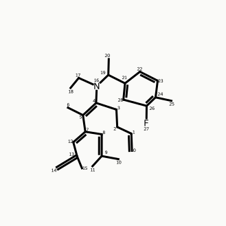 C=CCC/C(=C(C)\C(C=C(C)C)=C\C(=C)C)N(CC)C(C)c1ccc(C)c(F)c1